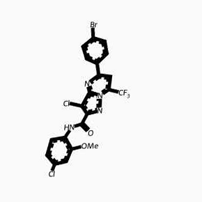 COc1cc(Cl)ccc1NC(=O)c1nn2c(C(F)(F)F)cc(-c3ccc(Br)cc3)nc2c1Cl